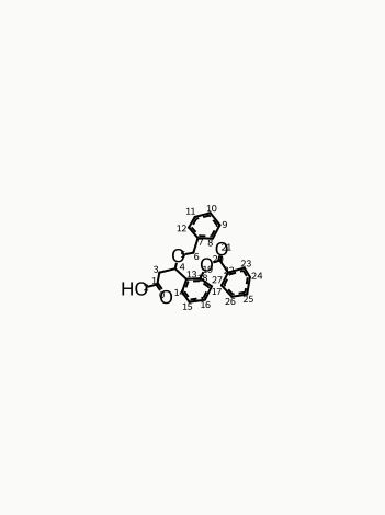 O=C(O)CC(OCc1ccccc1)c1ccccc1OC(=O)c1ccccc1